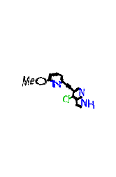 COc1cccc(C#Cc2cnc3[nH]ccc3c2Cl)n1